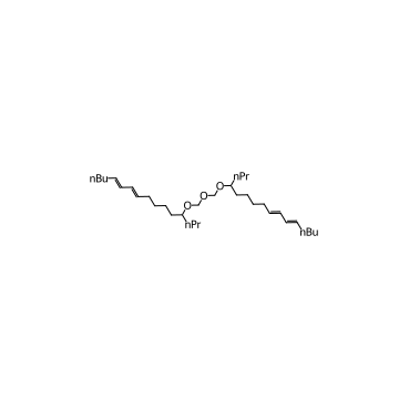 CCCCC=CC=CCCCCC(CCC)OCOCOC(CCC)CCCCC=CC=CCCCC